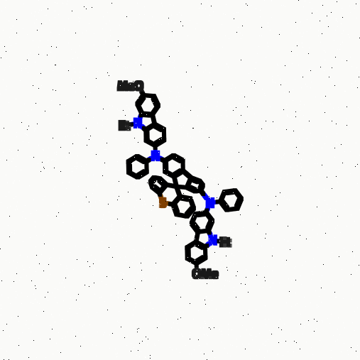 CCn1c2cc(OC)ccc2c2ccc(N(c3ccccc3)c3ccc4c(c3)C3(c5ccccc5Sc5ccccc53)c3cc(N(c5ccccc5)c5ccc6c7ccc(OC)cc7n(CC)c6c5)ccc3-4)cc21